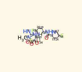 CN1C(=N)N[C@@]2(c3cc(NC(=O)c4ccc(F)cn4)ccc3F)CCOC2S1(=O)=O